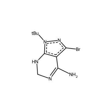 CC(C)(C)n1nc(Br)c2c1NCN=C2N